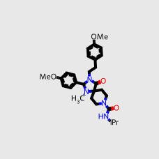 COc1ccc(CCN2C(=O)C3(CCN(C(=O)NC(C)C)CC3)N(C)C2c2ccc(OC)cc2)cc1